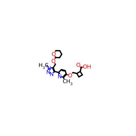 Cc1nc(-c2nnn(C)c2COC2CCCCO2)ccc1OCC1CCC1C(=O)O